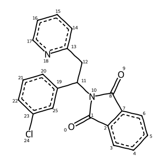 O=C1c2ccccc2C(=O)N1C(Cc1ccccn1)c1cccc(Cl)c1